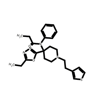 CCC(=O)N(c1ccccc1)C1(c2nnc(CC)o2)CCN(CCc2ccsc2)CC1